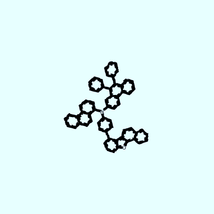 c1ccc(-c2c(-c3ccccc3)c3cc(N(c4ccc(-c5cccc6oc7c8ccccc8ccc7c56)cc4)c4cccc5c4ccc4ccccc45)ccc3c3ccccc23)cc1